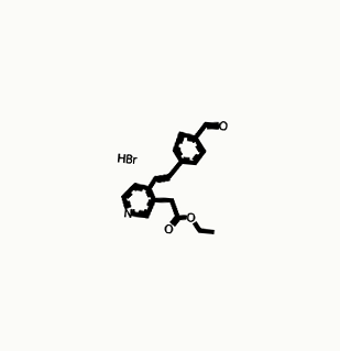 Br.CCOC(=O)Cc1cnccc1C=Cc1ccc(C=O)cc1